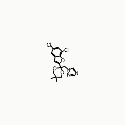 CC1(C)COC(Cn2cncn2)(c2cc3cc(Cl)cc(Cl)c3o2)OC1